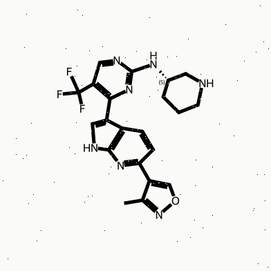 Cc1nocc1-c1ccc2c(-c3nc(N[C@H]4CCCNC4)ncc3C(F)(F)F)c[nH]c2n1